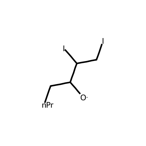 CCCCC([O])C(I)CI